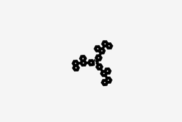 c1ccc2c(-c3ccc(-c4ccc(N(c5ccc(-c6ccc(-c7cccc8ccccc78)c7ccccc67)cc5)c5ccc(-c6ccc(-c7cccc8ccccc78)c7ccccc67)cc5)cc4)c4ccccc34)cccc2c1